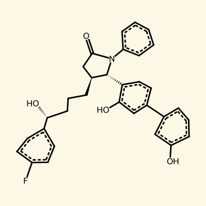 O=C1C[C@H](CCC[C@@H](O)c2ccc(F)cc2)[C@@H](c2ccc(-c3cccc(O)c3)cc2O)N1c1ccccc1